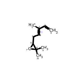 C=C/C(C)=C/CC1OC1(C)C